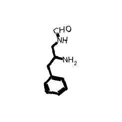 NC(CNC=O)Cc1ccccc1